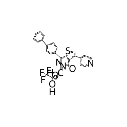 Cn1nc(-c2ccc(-c3ccccc3)cc2)c2scc(-c3ccncc3)c2c1=O.O=C(O)C(F)(F)F